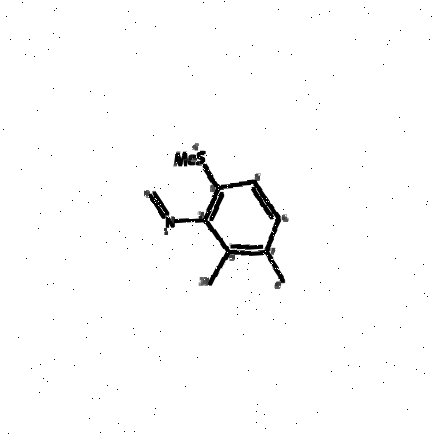 C=Nc1c(SC)ccc(C)c1C